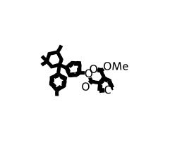 COC(=O)c1ccccc1C(=O)Oc1ccc(C2(c3ccc(C)cc3)CC(C)CC(C)(C)C2)cc1